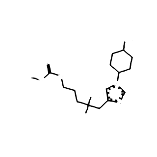 CC1CCC(n2cnc(CC(C)(CCCNC(=O)OC(C)(C)C)C(=O)O)c2)CC1